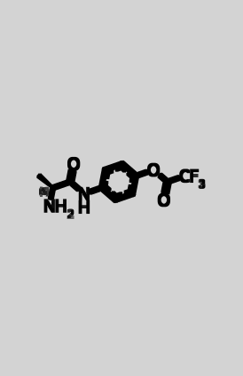 C[C@H](N)C(=O)Nc1ccc(OC(=O)C(F)(F)F)cc1